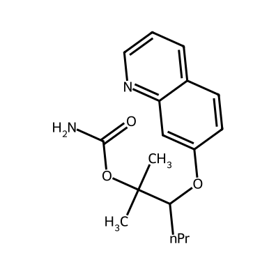 CCCC(Oc1ccc2cccnc2c1)C(C)(C)OC(N)=O